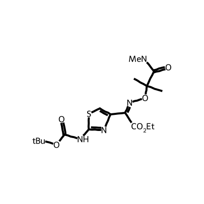 CCOC(=O)/C(=N\OC(C)(C)C(=O)NC)c1csc(NC(=O)OC(C)(C)C)n1